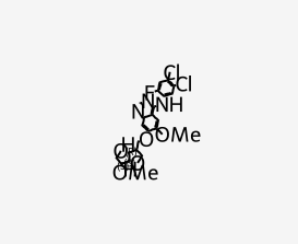 COc1cc2c(Nc3cc(Cl)c(Cl)cc3F)ncnc2cc1OCC1CO[C@@H]2[C@@H](OC)CO[C@H]12